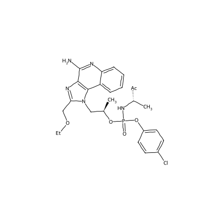 CCOCc1nc2c(N)nc3ccccc3c2n1C[C@@H](C)OP(=O)(N[C@@H](C)C(C)=O)Oc1ccc(Cl)cc1